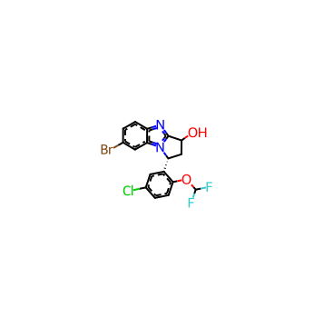 OC1C[C@H](c2cc(Cl)ccc2OC(F)F)n2c1nc1ccc(Br)cc12